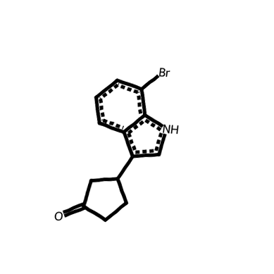 O=C1CCC(c2c[nH]c3c(Br)cccc23)C1